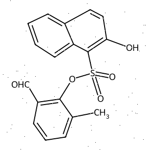 Cc1cccc(C=O)c1OS(=O)(=O)c1c(O)ccc2ccccc12